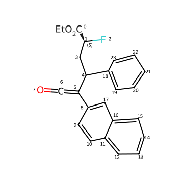 CCOC(=O)[C@@H](F)CC(C(=C=O)c1ccc2ccccc2c1)c1ccccc1